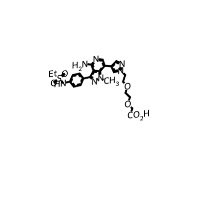 CCS(=O)(=O)Nc1ccc(-c2nn(C)c3c(-c4cnn(CCOCCOCC(=O)O)c4)cnc(N)c23)cc1